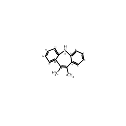 CC1=C(C)c2ccccc2Nc2ccccc21